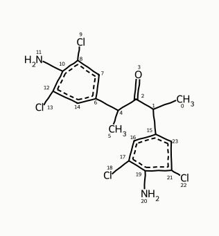 CC(C(=O)C(C)c1cc(Cl)c(N)c(Cl)c1)c1cc(Cl)c(N)c(Cl)c1